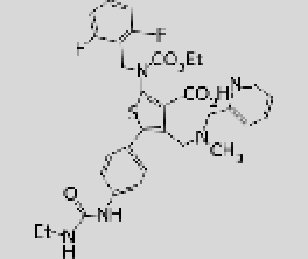 CCNC(=O)Nc1ccc(-c2sc(N(Cc3c(F)cccc3F)C(=O)OCC)c(C(=O)O)c2CN(C)Cc2ccccn2)cc1